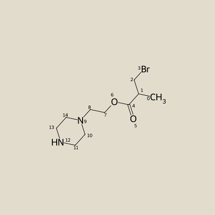 CC(CBr)C(=O)OCCN1CCNCC1